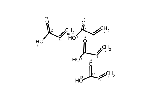 C=CC(=O)O.C=CC(=O)O.C=CC(=O)O.C=CC(=O)O